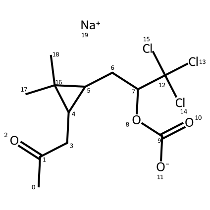 CC(=O)CC1C(CC(OC(=O)[O-])C(Cl)(Cl)Cl)C1(C)C.[Na+]